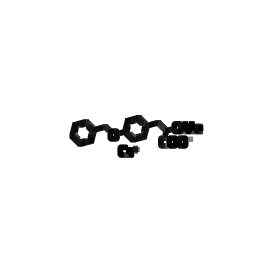 COC(Cc1ccc(OCc2ccccc2)cc1)C(=O)[O-].[Cs+]